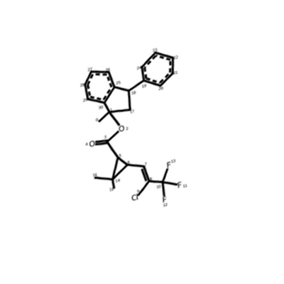 CC1(OC(=O)C2C(C=C(Cl)C(F)(F)F)C2(C)C)CC(c2ccccc2)c2ccccc21